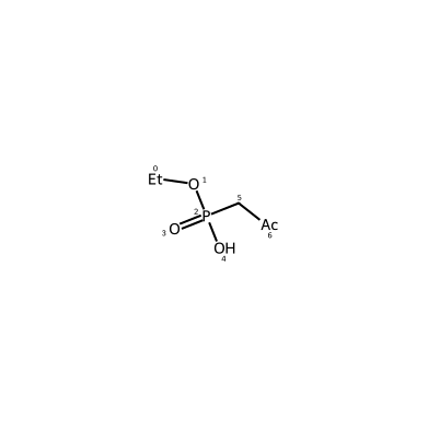 CCOP(=O)(O)CC(C)=O